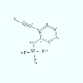 CC#Cc1ccccc1OC(F)(F)F